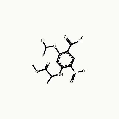 COC(=O)c1cc([N+](=O)[O-])c(NC(C)C(=O)OC)cc1OC(F)F